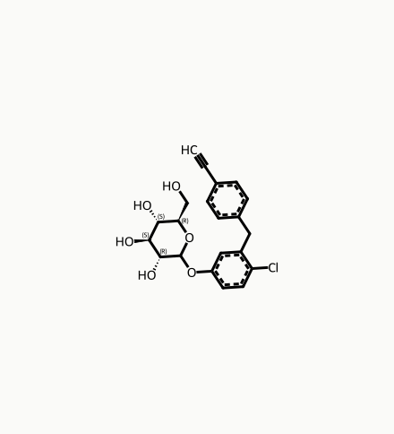 C#Cc1ccc(Cc2cc(OC3O[C@H](CO)[C@@H](O)[C@H](O)[C@H]3O)ccc2Cl)cc1